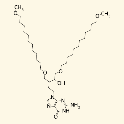 COCCCCCCCCCCCCOCC(O)C(CCn1cnc2c(=O)[nH]c(N)nc21)COCCCCCCCCCCCCOC